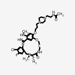 CNc1cc(OCCCN2CCN(CCNC(C)=O)CC2)c2cc1C(=N)Nc1cc(Cl)c(F)cc1CN(C)[C@H](C)C(=O)NCCCO2